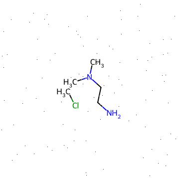 CCl.CN(C)CCN